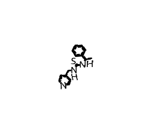 CC(NC(=S)NCc1ccncc1)c1ccccc1